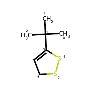 CC(C)(C)C1=CCSS1